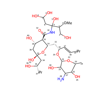 COC(CO)C(O)(CC(O)O)NC(=O)[C@H]1[C@H](C[C@H](/C=C/C(C)C)OC2OC(C)C(O)C(N)C2O)O[C@](O)(C[C@@H](O)C(C)C)C[C@@H]1O